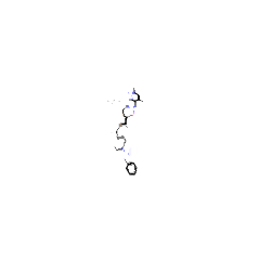 COc1nc(C)cc(C)c1CN1CCc2sc([C@H](C)[C@H]3CC[C@H](NCc4ccccc4)CC3)c(C)c2C1=O